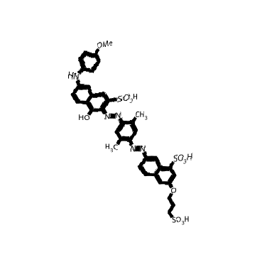 COc1ccc(Nc2ccc3c(O)c(N=Nc4cc(C)c(N=Nc5ccc6cc(OCCCS(=O)(=O)O)cc(S(=O)(=O)O)c6c5)cc4C)c(S(=O)(=O)O)cc3c2)cc1